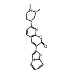 C[C@H]1CN(c2ccc3cc(-c4cn5ccccc5n4)c(=O)oc3n2)CCN1C